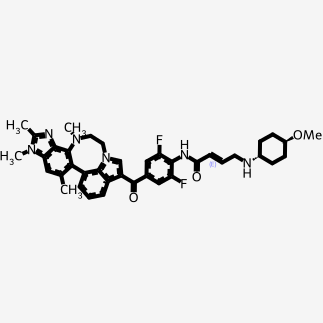 CO[C@H]1CC[C@H](NC/C=C/C(=O)Nc2c(F)cc(C(=O)c3cn4c5c(cccc35)-c3c(C)cc5c(nc(C)n5C)c3N(C)CC4)cc2F)CC1